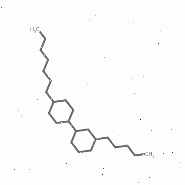 CCCCCCCC1CCC(C2CCCC(CCCCC)C2)CC1